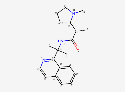 C[C@H](C(=O)NC(C)(C)c1nccc2ccccc12)[C@@H]1CCCN1C